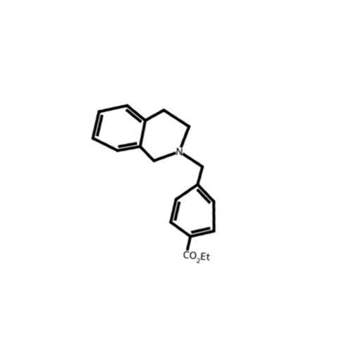 CCOC(=O)c1ccc(CN2CCc3ccccc3C2)cc1